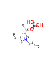 CCCCN(CCCC)CCCC.O=C(O)O